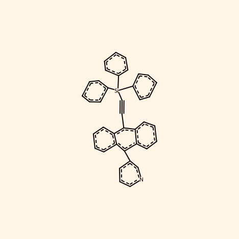 C(#C[Si](c1ccccc1)(c1ccccc1)c1ccccc1)c1c2ccccc2c(-c2cccnc2)c2ccccc12